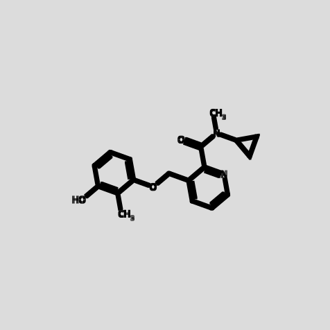 Cc1c(O)cccc1OCc1cccnc1C(=O)N(C)C1CC1